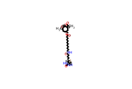 C=C1C(=O)O[C@H]2[C@H]1CC/C(COC(=O)CCCCCCCCCCCNC(=O)CCCC[C@@H]1SC[C@@H]3NC(=O)N[C@@H]31)=C\CC[C@@]1(C)O[C@@H]21